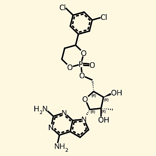 C[C@@]1(O)[C@H](O)[C@@H](COP2(=O)OCCC(c3cc(Cl)cc(Cl)c3)O2)O[C@H]1n1ccc2c(N)nc(N)nc21